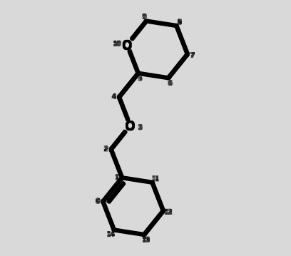 C1=C(COCC2CCCCO2)CCCC1